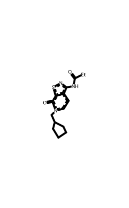 CCC(=O)Nc1nsc2c(=O)n(CC3CCCC3)ccc12